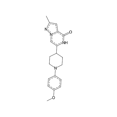 COc1ccc(N2CCC(c3cn4nc(C)cc4c(=O)[nH]3)CC2)cc1